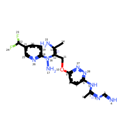 C/C(=N/C=N)Nc1ccc(OC/C(=C(\C)N)N(N)c2ccc(C(F)F)cn2)nn1